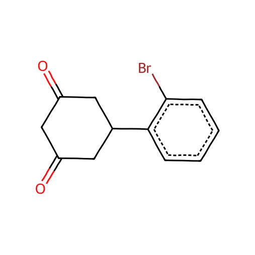 O=C1CC(=O)CC(c2ccccc2Br)C1